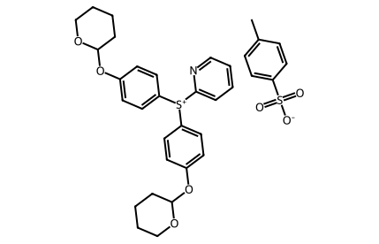 Cc1ccc(S(=O)(=O)[O-])cc1.c1ccc([S+](c2ccc(OC3CCCCO3)cc2)c2ccc(OC3CCCCO3)cc2)nc1